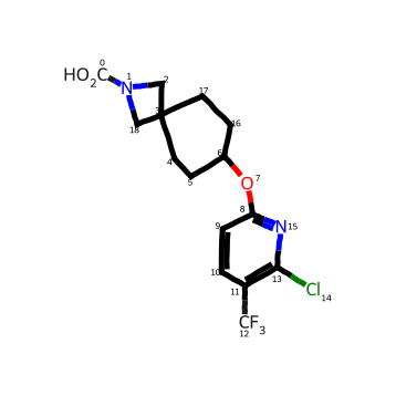 O=C(O)N1CC2(CCC(Oc3ccc(C(F)(F)F)c(Cl)n3)CC2)C1